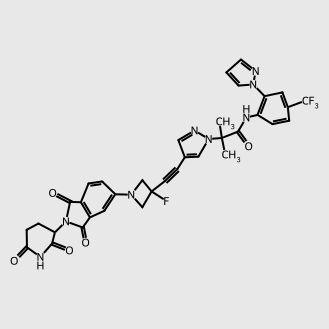 CC(C)(C(=O)Nc1ccc(C(F)(F)F)cc1-n1cccn1)n1cc(C#CC2(F)CN(c3ccc4c(c3)C(=O)N(C3CCC(=O)NC3=O)C4=O)C2)cn1